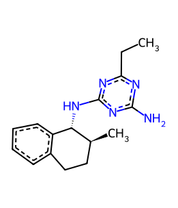 CCc1nc(N)nc(N[C@H]2c3ccccc3CC[C@@H]2C)n1